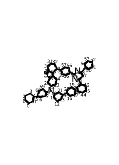 C1=CCCC(c2ccc(N(c3cccc(-c4ccccc4)c3)c3ccc4c(c3)sc3cccc(-c5ccc(-c6nc(-c7ccccc7)cc(-c7ccccc7)n6)cc5)c34)cc2)=C1